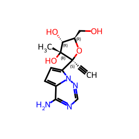 C#C[C@@]1(c2ccc3c(N)ncnn23)O[C@H](CO)[C@@H](O)[C@@]1(C)O